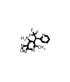 Cc1nc2nonc2c(N)c1C(c1ccccn1)C(F)(F)F